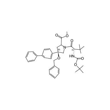 COC(=O)C1C[C@@](OCc2ccccc2)(c2ccc(-c3ccccc3)cc2)CN1C(=O)[C@@H](NC(=O)OC(C)(C)C)C(C)(C)C